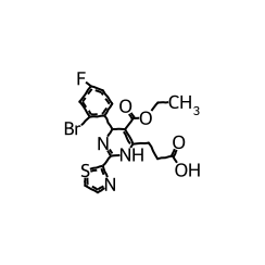 CCOC(=O)C1=C(CCC(=O)O)NC(c2nccs2)=NC1c1ccc(F)cc1Br